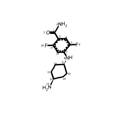 NC(=O)c1cc(F)c(N[C@H]2CC[C@H](N)CC2)cc1F